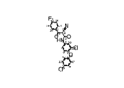 N#CC(C(=O)Nc1ccc(Oc2ccc(Cl)cc2)c(Cl)c1)C(=O)c1ccc(F)cc1